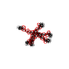 O=C(OCCOCCOCCOCC(COCCOCCOC(=O)C1CC=CCC1)(COCCOCCOC(=O)C1CC=CCC1)COCC(COCCOCCOC(=O)C1CC=CCC1)(COCCOCCOC(=O)C1CC=CCC1)COCCOCCOC(=O)C1CC=CCC1)C1CC=CCC1